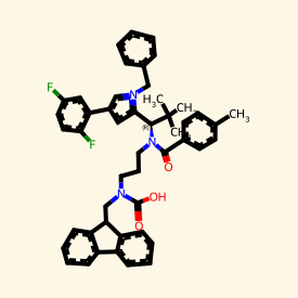 Cc1ccc(C(=O)N(CCCN(CC2c3ccccc3-c3ccccc32)C(=O)O)[C@@H](c2cc(-c3cc(F)ccc3F)cn2Cc2ccccc2)C(C)(C)C)cc1